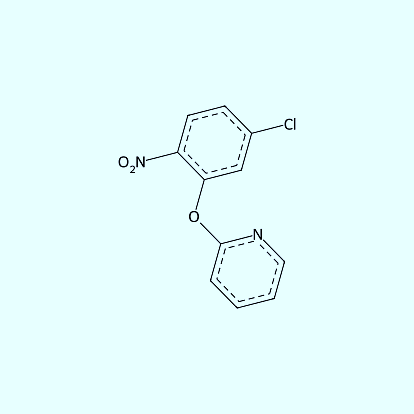 O=[N+]([O-])c1ccc(Cl)cc1Oc1ccccn1